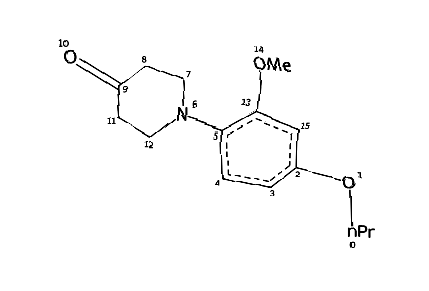 CCCOc1ccc(N2CCC(=O)CC2)c(OC)c1